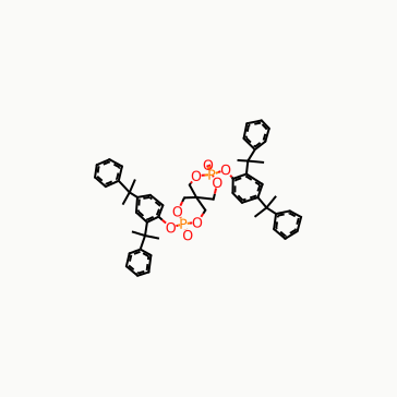 CC(C)(c1ccccc1)c1ccc(OP2(=O)OCC3(CO2)COP(=O)(Oc2ccc(C(C)(C)c4ccccc4)cc2C(C)(C)c2ccccc2)OC3)c(C(C)(C)c2ccccc2)c1